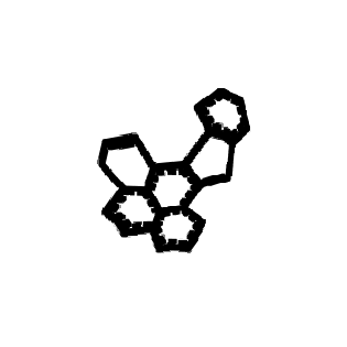 C1=Cc2c3c(c4cccc5ccc(c2c54)C1)=Cc1ccccc1-3